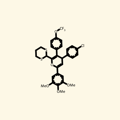 COc1cc(C2=CC(c3ccc(Cl)cc3)C(c3ccc(OC(F)(F)F)cc3)=C(C3SCCCS3)O2)cc(OC)c1OC